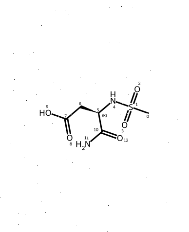 CS(=O)(=O)N[C@H](CC(=O)O)C(N)=O